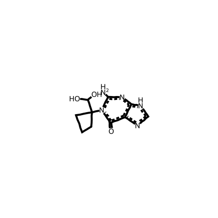 Nc1nc2[nH]cnc2c(=O)n1C1(C(O)O)CCC1